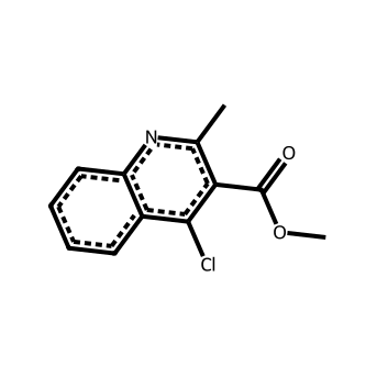 COC(=O)c1c(C)nc2ccccc2c1Cl